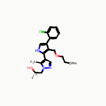 COCCOCc1c(-c2ccccc2Cl)c[nH]c1-c1cnn(C[C@H](C)O)c1C(F)(F)F